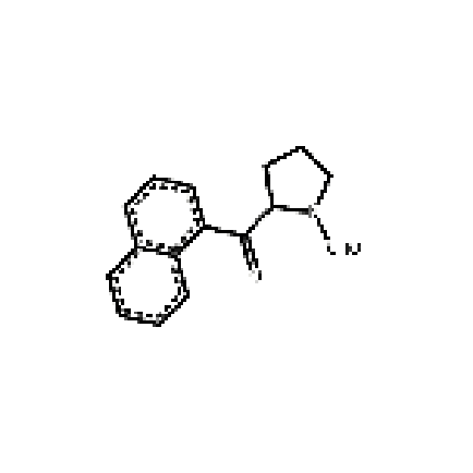 O=[C]N1CCCC1C(=O)c1cccc2ccccc12